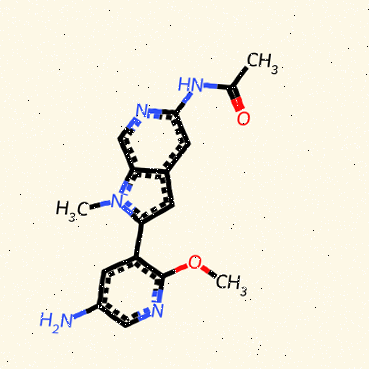 COc1ncc(N)cc1-c1cc2cc(NC(C)=O)ncc2n1C